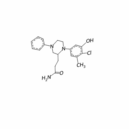 Cc1cc(N2CCN(c3ccccc3)CC2CCC(N)=O)cc(O)c1Cl